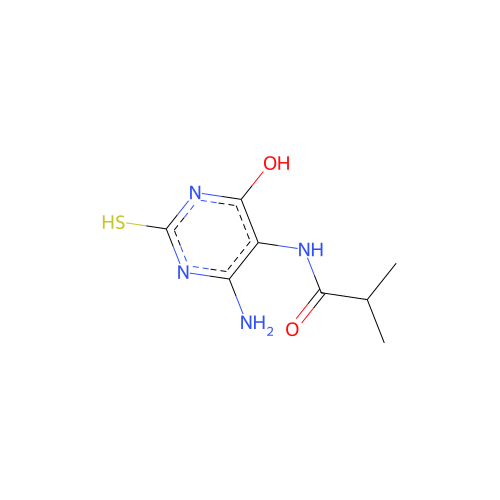 CC(C)C(=O)Nc1c(N)nc(S)nc1O